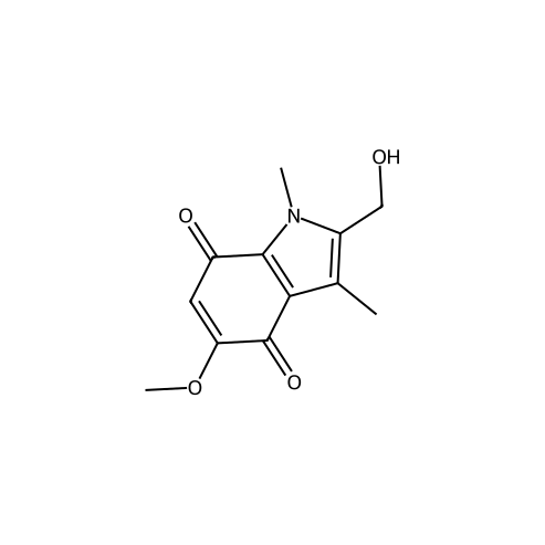 COC1=CC(=O)c2c(c(C)c(CO)n2C)C1=O